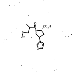 CC(=O)SCC(C)C(=O)N1CC(c2ccoc2)C[C@H]1C(=O)O